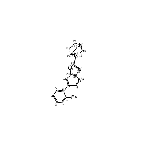 Fc1ccccc1-c1cnc2nc(N3CCN4CCC3CC4)oc2c1